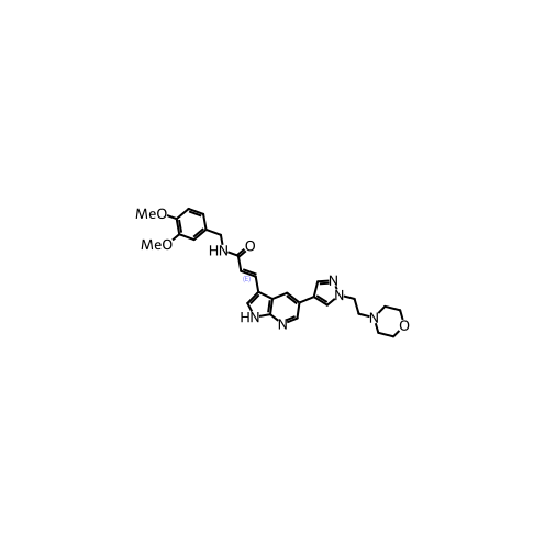 COc1ccc(CNC(=O)/C=C/c2c[nH]c3ncc(-c4cnn(CCN5CCOCC5)c4)cc23)cc1OC